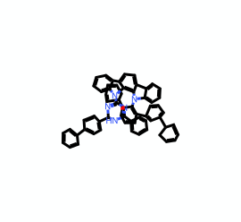 C1=CCC(c2cccc(-c3cccc(C4C=CC=CC4)c3-n3c4ccccc4c4ccc5c6ccccc6n(C6=NC(c7ccc(-c8ccccc8)cc7)NC(c7ccccc7)=N6)c5c43)c2)C=C1